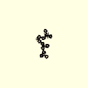 c1ccc(-c2nc(-c3ccccc3)nc(-c3cccc(-c4cccc5oc6ccc(-c7ccc8c(c7)c7ccc(-c9ccc%10c(c9)c9ccccc9n%10-c9ccccc9)cc7n8-c7ccccc7)cc6c45)c3)n2)cc1